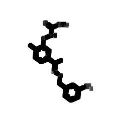 COC(=O)NOc1cc(/C(C)=N/OCc2cccc(C(F)(F)F)c2)ccc1C